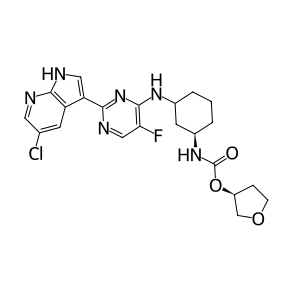 O=C(N[C@@H]1CCCC(Nc2nc(-c3c[nH]c4ncc(Cl)cc34)ncc2F)C1)O[C@H]1CCOC1